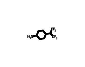 NC1CCC(C(C(F)(F)F)C(F)(F)F)CC1